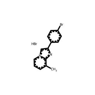 Br.Cc1cccn2cc(-c3ccc(Br)cc3)nc12